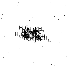 [C-]#[N+]c1c(C)nn(-c2cc(-n3nc(C)c(C#N)c3/N=N/c3c(C)nn4nc(C)[nH]c34)ncn2)c1/N=N/c1c(C)nn2nc(C)[nH]c12